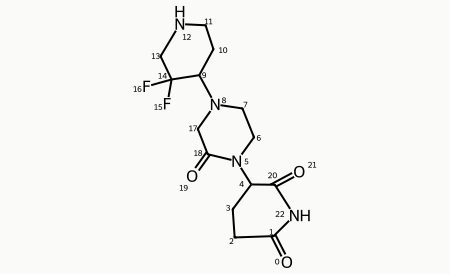 O=C1CCC(N2CCN(C3CCNCC3(F)F)CC2=O)C(=O)N1